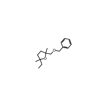 CCC1(C)CCC(C)(COCc2ccccc2)O1